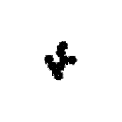 c1ccc(-c2cc(-c3ccc4sc5ccccc5c4c3)nc(-c3ccc4c(c3)c3cc(-c5ccccn5)ccc3c3nc5ccccn5c43)n2)cc1